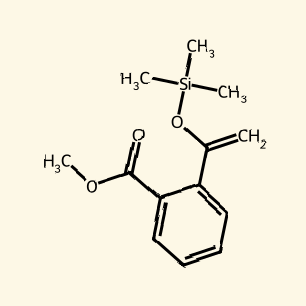 C=C(O[Si](C)(C)C)c1ccccc1C(=O)OC